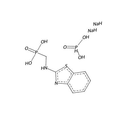 O=P(O)(O)CNc1nc2ccccc2s1.O=[PH](O)O.[NaH].[NaH]